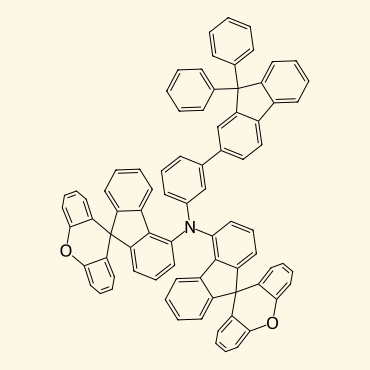 c1ccc(C2(c3ccccc3)c3ccccc3-c3ccc(-c4cccc(N(c5cccc6c5-c5ccccc5C65c6ccccc6Oc6ccccc65)c5cccc6c5-c5ccccc5C65c6ccccc6Oc6ccccc65)c4)cc32)cc1